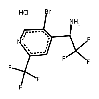 Cl.N[C@H](c1cc(C(F)(F)F)ncc1Br)C(F)(F)F